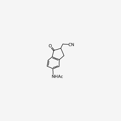 CC(=O)Nc1ccc2c(c1)CC(CC#N)C2=O